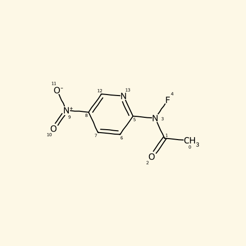 CC(=O)N(F)c1ccc([N+](=O)[O-])cn1